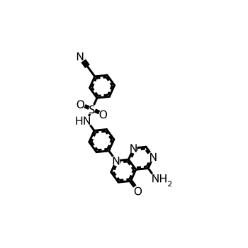 N#Cc1cccc(S(=O)(=O)Nc2ccc(-n3ccc(=O)c4c(N)ncnc43)cc2)c1